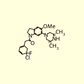 COc1cc2c(cc1N1C[C@@H](C)N[C@@H](C)C1)N(C(=O)CC1=CC=CC(F)(Cl)C1)CC2